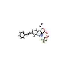 O=C1O[C@H](CI)[C@@H](c2ccc(C#Cc3ccccc3)cc2)[C@@H]1NC(=O)C(F)(F)F